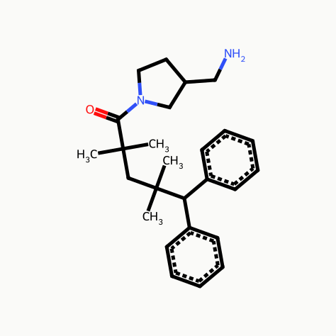 CC(C)(CC(C)(C)C(c1ccccc1)c1ccccc1)C(=O)N1CCC(CN)C1